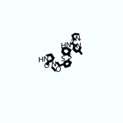 Cc1ccc(C(Nc2ccc3c(c2)Sc2cccc(C4CN(c5ccc[nH]c5=O)CCO4)c2S3)[C@H]2CCCN2C)nc1